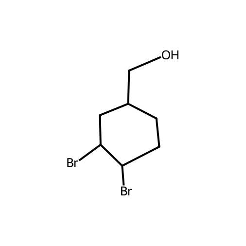 OCC1CCC(Br)C(Br)C1